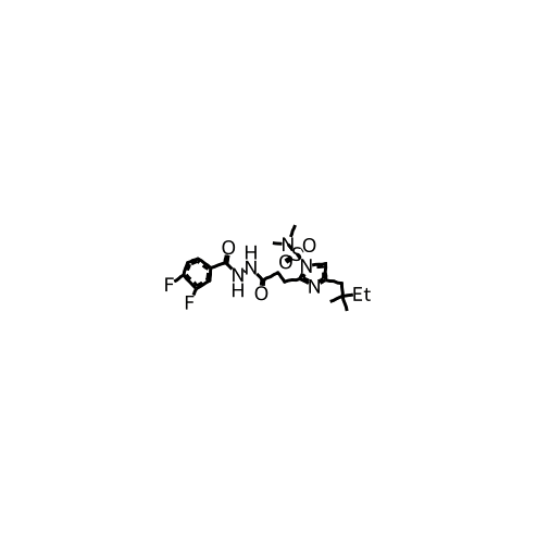 CCC(C)(C)Cc1cn(S(=O)(=O)N(C)C)c(CCC(=O)NNC(=O)c2ccc(F)c(F)c2)n1